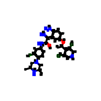 CC1CN(c2ccc(NC(=O)C(=N)c3cc(OC(C)c4c(Cl)cncc4Cl)ccc3N)cc2F)CC(C)N1